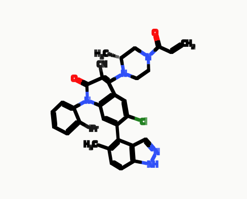 C=CC(=O)N1CCN(c2c(C#N)c(=O)n(-c3ccccc3C(C)C)c3cc(-c4c(C)ccc5[nH]ncc45)c(Cl)cc23)[C@H](C)C1